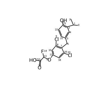 CC(C)c1cc(Cc2c(Cl)cc(OC(F)C(=O)O)cc2Cl)ccc1O